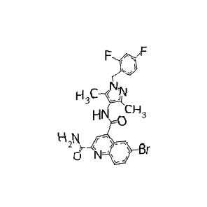 Cc1nn(Cc2ccc(F)cc2F)c(C)c1NC(=O)c1cc(C(N)=O)nc2ccc(Br)cc12